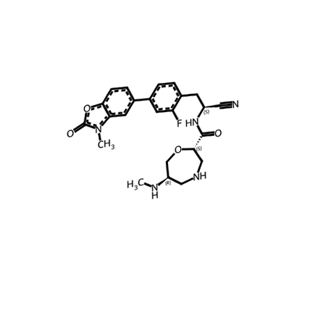 CN[C@@H]1CNC[C@@H](C(=O)N[C@H](C#N)Cc2ccc(-c3ccc4oc(=O)n(C)c4c3)cc2F)OC1